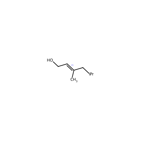 C/C(=C\CO)CC(C)C